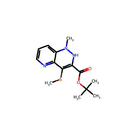 CSC1=C(C(=O)OC(C)(C)C)NN(C)c2cccnc21